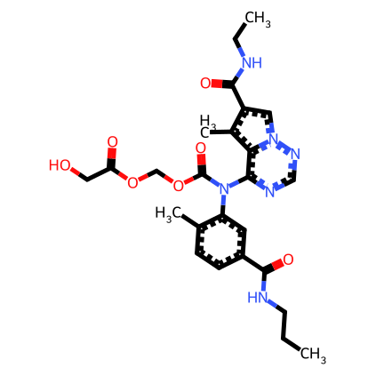 CCCNC(=O)c1ccc(C)c(N(C(=O)OCOC(=O)CO)c2ncnn3cc(C(=O)NCC)c(C)c23)c1